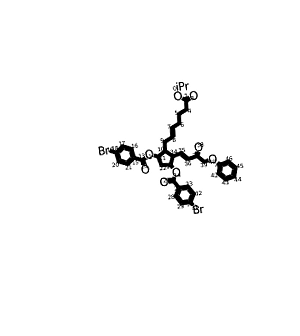 CC(C)OC(=O)CCCC=CCC1C(OC(=O)c2ccc(Br)cc2)CC(OC(=O)c2ccc(Br)cc2)C1C=CC(=O)COc1ccccc1